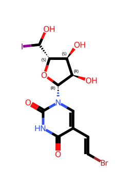 O=c1[nH]c(=O)n([C@@H]2O[C@H](C(O)I)[C@@H](O)[C@H]2O)cc1C=CBr